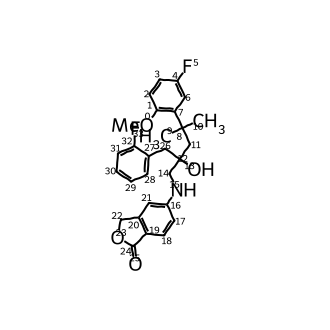 COc1ccc(F)cc1C(C)(C)CC(O)(CNc1ccc2c(c1)COC2=O)Cc1ccccc1F